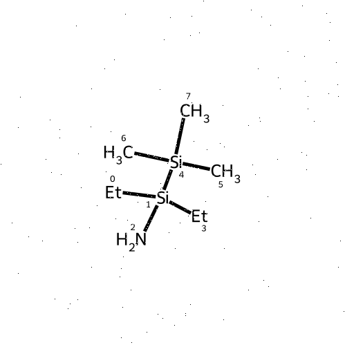 CC[Si](N)(CC)[Si](C)(C)C